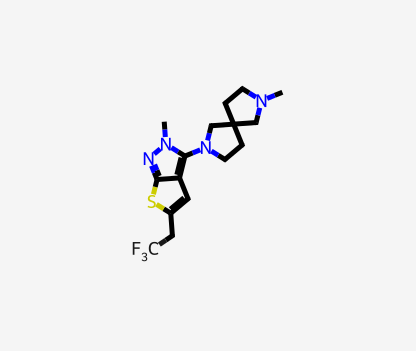 CN1CCC2(CCN(c3c4cc(CC(F)(F)F)sc4nn3C)C2)C1